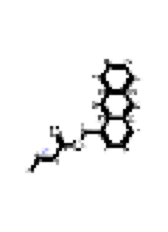 C/C=C/C(=O)OCc1cccc2cc3ccccc3cc12